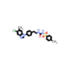 Cc1ccc(S(=O)(=O)NC(=O)NCCc2ccc(-n3cnc4cc(Cl)c(C)cc43)cc2)cc1